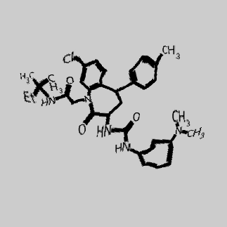 CCC(C)(C)NC(=O)CN1C(=O)C(NC(=O)Nc2cccc(N(C)C)c2)CC(c2ccc(C)cc2)c2ccc(Cl)cc21